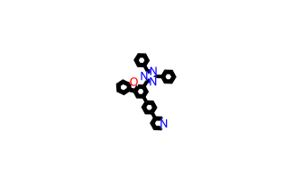 c1ccc(-c2nc(-c3ccccc3)nc(-c3cc(-c4ccc(-c5cccnc5)cc4)cc4c3oc3ccccc34)n2)cc1